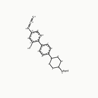 CCCCCC1CCC(c2ccc(-c3ncc(N=C=S)cc3F)cc2)CC1